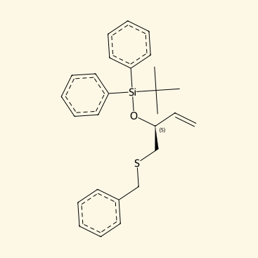 C=C[C@@H](CSCc1ccccc1)O[Si](c1ccccc1)(c1ccccc1)C(C)(C)C